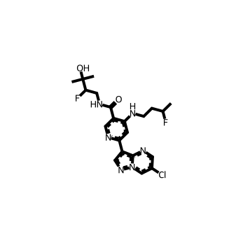 CC(F)CCNc1cc(-c2cnn3cc(Cl)cnc23)ncc1C(=O)NCC(F)C(C)(C)O